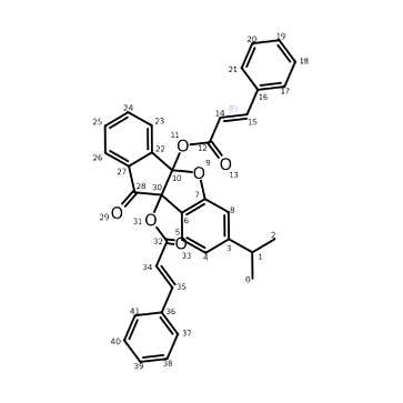 CC(C)c1ccc2c(c1)OC1(OC(=O)/C=C/c3ccccc3)c3ccccc3C(=O)C21OC(=O)C=Cc1ccccc1